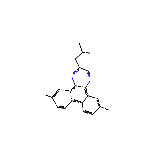 Cc1ccc2c3ccc(C)cc3c3nc(CC(C)C)cnc3c2c1